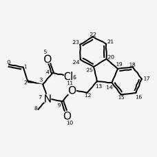 C=CC[C@@H](C(=O)Cl)N(C)C(=O)OCC1c2ccccc2-c2ccccc21